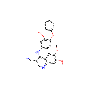 COc1cc2ncc(C#N)c(Nc3ccc(Oc4ccccc4)c(OC)c3)c2cc1OC